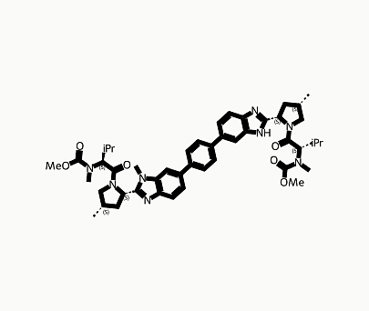 COC(=O)N(C)[C@H](C(=O)N1C[C@@H](C)C[C@H]1c1nc2ccc(-c3ccc(-c4ccc5nc([C@@H]6C[C@H](C)CN6C(=O)[C@H](C(C)C)N(C)C(=O)OC)n(C)c5c4)cc3)cc2[nH]1)C(C)C